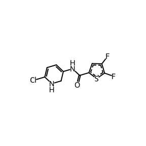 O=C(NC1=CC=C(Cl)NC1)c1cc(F)c(F)s1